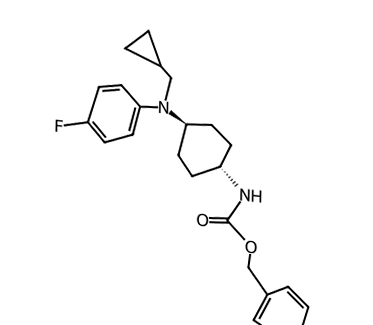 O=C(N[C@H]1CC[C@H](N(CC2CC2)c2ccc(F)cc2)CC1)OCc1ccccc1